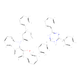 c1ccc(-c2cccc(-n3c4ccccc4c4ccc5c6cccc(-c7ccc(-c8nc(-c9ccccc9)nc(-c9ccccc9)n8)cc7)c6oc5c43)c2)cc1